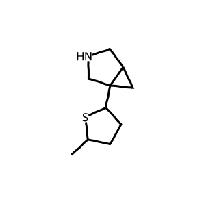 CC1CCC(C23CNCC2C3)S1